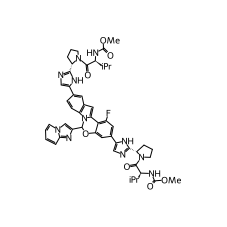 COC(=O)N[C@H](C(=O)N1CCC[C@H]1c1ncc(-c2cc(F)c3c(c2)OC(c2cn4ccccc4n2)n2c-3cc3cc(-c4cnc([C@@H]5CCCN5C(=O)[C@@H](NC(=O)OC)C(C)C)[nH]4)ccc32)[nH]1)C(C)C